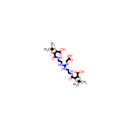 CC1(C)SC(C(=O)O)C(C(=O)NCCNC(=NCC(=O)O)NCCNC(=O)C2SC(C)(C)SC2C(=O)O)S1